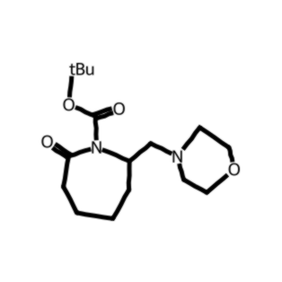 CC(C)(C)OC(=O)N1C(=O)CCCCC1CN1CCOCC1